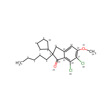 CCCCCC1(C2CCCC2)Cc2cc(OC)c(Cl)c(Cl)c2C1=O